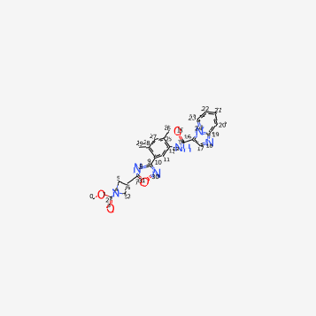 COC(=O)N1CC(c2nc(-c3cc(NC(=O)c4cnc5ccccn45)c(C)cc3C)no2)C1